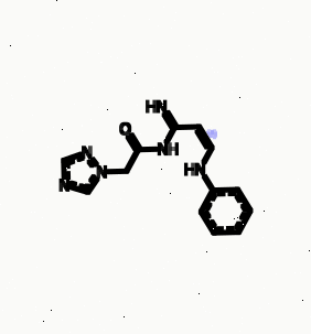 N=C(/C=C\Nc1ccccc1)NC(=O)Cn1cncn1